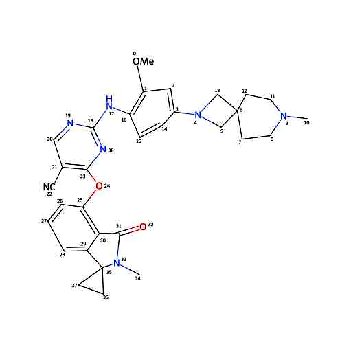 COc1cc(N2CC3(CCN(C)CC3)C2)ccc1Nc1ncc(C#N)c(Oc2cccc3c2C(=O)N(C)C32CC2)n1